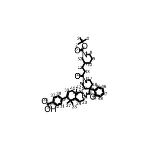 CC(C)(C)OC(=O)N1CCCC(CCC(=O)N2CCC(C(=O)N3CC=C4C(C)(C)C(c5ccc(C(=O)O)cc5)=CC[C@]4(C)C3)(c3ccccc3)CC2)C1